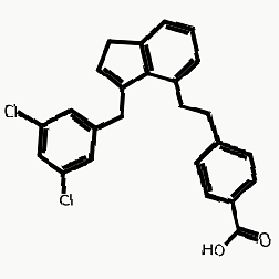 O=C(O)c1ccc(CCc2cccc3c2C(Cc2cc(Cl)cc(Cl)c2)=CC3)cc1